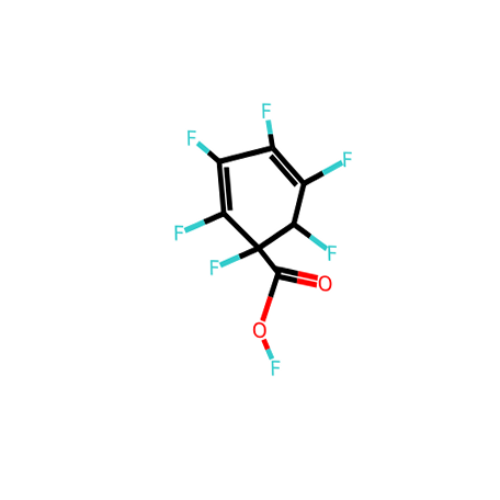 O=C(OF)C1(F)C(F)=C(F)C(F)=C(F)C1F